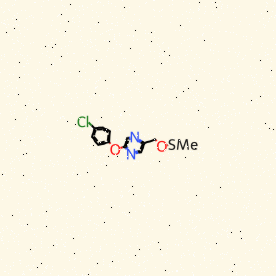 CSOCc1cnc(Oc2ccc(Cl)cc2)cn1